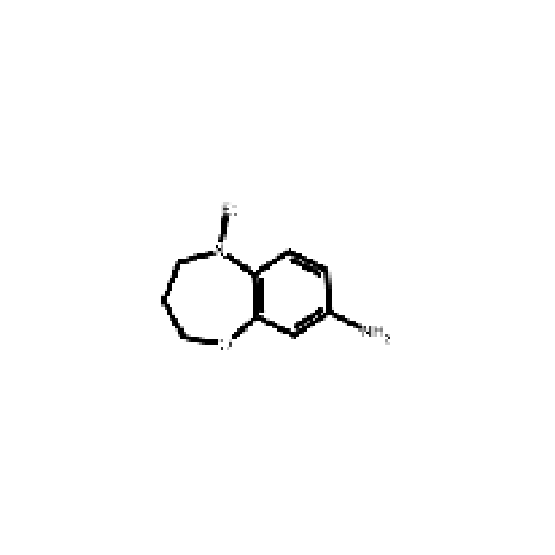 CCN1CCCOc2cc(N)ccc21